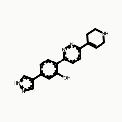 Oc1cc(-c2cn[nH]c2)ccc1-c1ccc(C2=CCNCC2)nn1